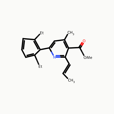 CC=Cc1nc(-c2c(CC)cccc2CC)cc(C)c1C(=O)OC